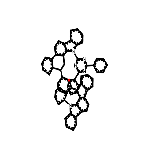 c1ccc(-c2nc(-c3ccccc3)nc(-n3c4ccccc4c4ccc5c(c43)CC(c3cccc(-n4c6ccccc6c6ccc7c8ccccc8n(-c8ccccc8)c7c64)c3)c3ccccc3-5)n2)cc1